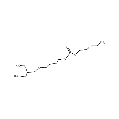 CCOCCOC(=O)OCCCCOCC(CC)OC